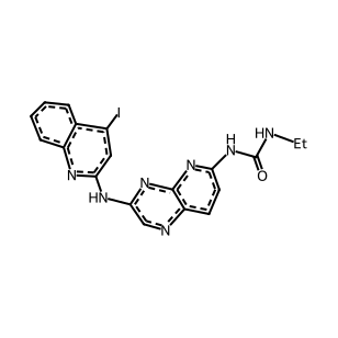 CCNC(=O)Nc1ccc2ncc(Nc3cc(I)c4ccccc4n3)nc2n1